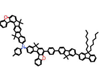 CCCCCCCC1(CCCCCCC)c2ccccc2-c2ccc(-c3ccc4c(c3)C(C)(C)c3cc(-c5ccc(-c6cc7c(c8c6oc6ccccc68)-c6ccc(N(c8ccc(C)cc8)c8ccc9c(c8)C(C)(C)c8cc%10c(cc8-9)C(C)(C)c8ccc9oc%11ccccc%11c9c8-%10)cc6C7(C)C)cc5)ccc3-4)cc21